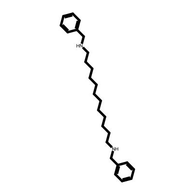 c1ccc(CNCCCCCCCCCCCCNCc2ccccc2)cc1